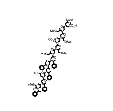 CNC(=O)CN(CC(=O)O)C(=O)CN(C(=O)CN(C(=O)CN(CC(=O)O)C(=O)CN(C(=O)CN(C(=O)CN(C(=O)CN(C(=O)CN(C(=O)CN(CCN)C(=O)CN(C(=O)CN(C(=O)CSC)C(C)c1ccccc1)C(C)c1ccccc1)C(C)c1ccccc1)C(C)c1ccccc1)C(C)c1ccccc1)C(C)COC)C(C)COC)C(C)COC)C(C)COC